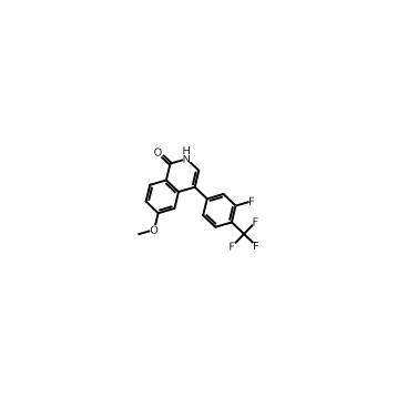 COc1ccc2c(=O)[nH]cc(-c3ccc(C(F)(F)F)c(F)c3)c2c1